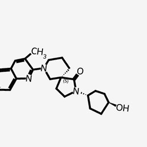 Cc1cc2ccccc2nc1N1CCC[C@]2(CCN([C@H]3CC[C@H](O)CC3)C2=O)C1